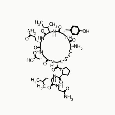 CC[C@H](C)C1NC(=O)[C@H](Cc2ccc(O)cc2)NC(=O)[C@@H](N)CSSC[C@@H](C(=O)N2CCC[C@H]2C(=O)N[C@@H](CC(C)C)C(=O)NCC(N)=O)NC(=O)[C@H](CC(=O)O)NC(=O)[C@H](CCC(N)=O)NC1=O